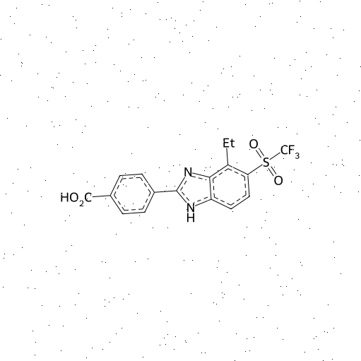 CCc1c(S(=O)(=O)C(F)(F)F)ccc2[nH]c(-c3ccc(C(=O)O)cc3)nc12